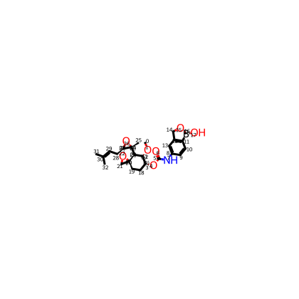 CO[C@@H]1[C@H](OC(=O)Nc2ccc3c(c2)COB3O)CC[C@]2(CO2)[C@H]1[C@@]1(C)O[C@@H]1CC=C(C)C